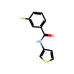 O=C(Nc1ccsc1)c1cccc(F)c1